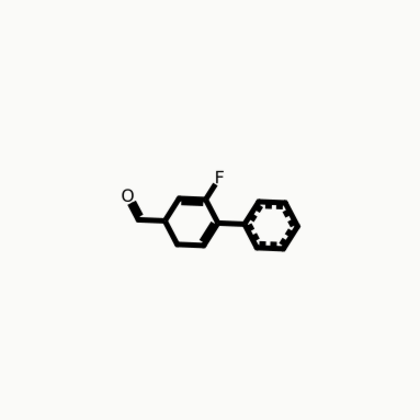 O=CC1C=C(F)C(c2ccccc2)=CC1